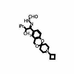 CC(C)C(C)/C(=N\NC=O)c1ccc2c(c1)COC1(CCN(C3CCC3)CC1)O2